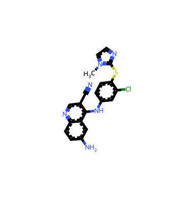 Cn1ccnc1Sc1ccc(Nc2c(C#N)cnc3ccc(N)cc23)cc1Cl